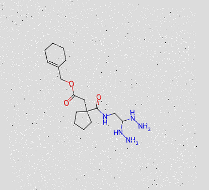 NNC(CNC(=O)C1(CC(=O)OCC2=CCCCC2)CCCC1)NN